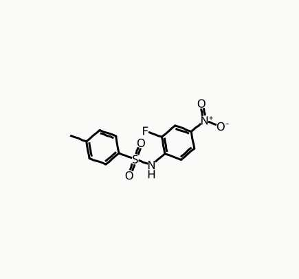 Cc1ccc(S(=O)(=O)Nc2ccc([N+](=O)[O-])cc2F)cc1